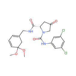 COC1(OC)C=CC=C(CNC(=O)[C@@H]2CC(=O)CN2C(=O)Nc2cc(Cl)cc(Cl)c2)C1